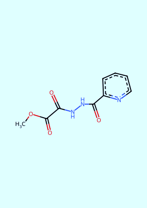 COC(=O)C(=O)NNC(=O)c1ccccn1